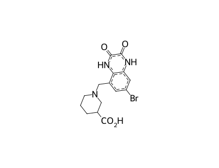 O=C(O)C1CCCN(Cc2cc(Br)cc3[nH]c(=O)c(=O)[nH]c23)C1